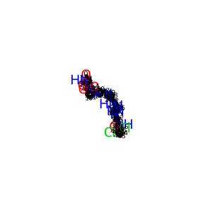 O=C1CC[C@H](N2C(=O)c3cccc(N4CCC(CN5CCC(CNc6ncnc7c6ncn7C6CC(NC(=O)c7c(Cl)cccc7Cl)C6)CC5)CC4)c3C2=O)C(=O)N1